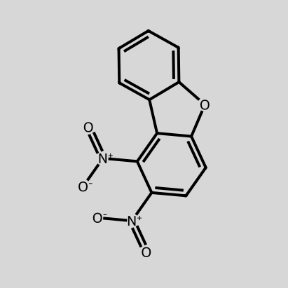 O=[N+]([O-])c1ccc2oc3ccccc3c2c1[N+](=O)[O-]